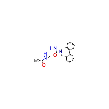 CCC(=O)NCCOC(=N)N1Cc2ccccc2-c2ccccc2C1